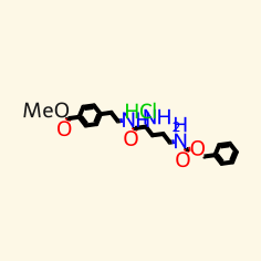 COC(=O)c1ccc(CCNC(=O)[C@@H](N)CCCNC(=O)OCc2ccccc2)cc1.Cl